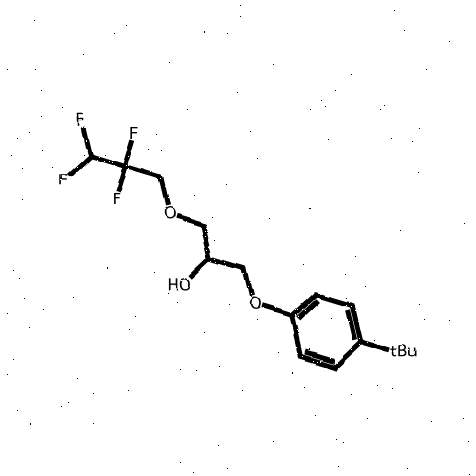 CC(C)(C)c1ccc(OCC(O)COCC(F)(F)C(F)F)cc1